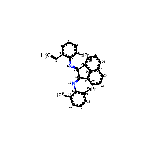 C=Cc1cccc(C(C)C)c1/N=C1/C(=N/c2c(C(C)C)cccc2C(C)C)c2cccc3cccc1c23